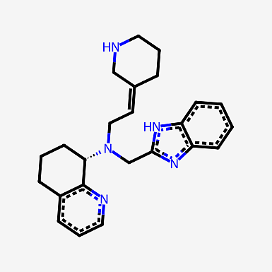 C(/CN(Cc1nc2ccccc2[nH]1)[C@H]1CCCc2cccnc21)=C1\CCCNC1